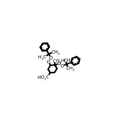 CC(C)(OOC1CC(C(=O)O)CCC1(OOC(C)(C)c1ccccc1)C(=O)O)c1ccccc1